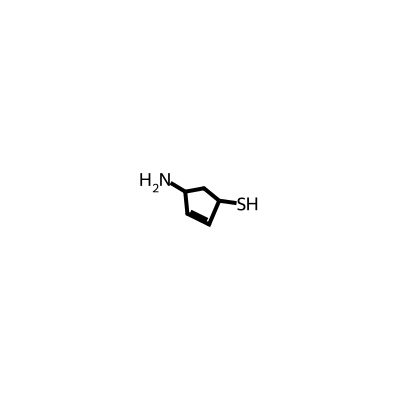 NC1C=CC(S)C1